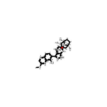 COc1cnc2ccc(-c3n[nH]c4nc(N5[C@H]6CC[C@@H]5[C@@H](F)[C@@H](N)C6)cnc34)c(Cl)c2n1